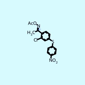 CC(=O)O/N=C(\C)c1ccc(Sc2ccc([N+](=O)[O-])cc2)cc1Cl